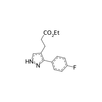 CCOC(=O)CCc1c[nH]nc1-c1ccc(F)cc1